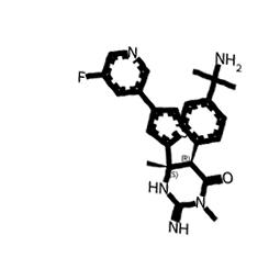 CN1C(=N)N[C@](C)(c2cc(-c3cncc(F)c3)cs2)[C@@H](c2ccc(C(C)(C)N)cc2)C1=O